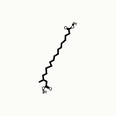 CC(CCCCCCCCCCCCCCC(=O)OC(C)C)CC(=O)OC(C)C